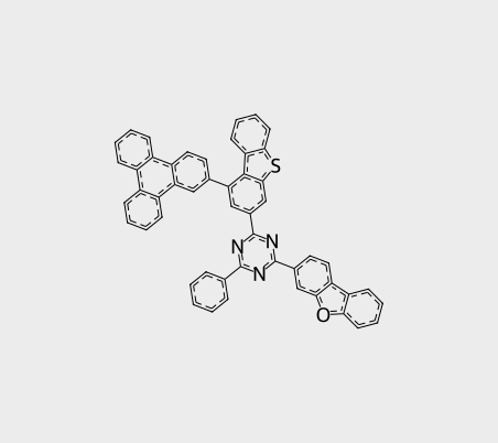 c1ccc(-c2nc(-c3ccc4c(c3)oc3ccccc34)nc(-c3cc(-c4ccc5c6ccccc6c6ccccc6c5c4)c4c(c3)sc3ccccc34)n2)cc1